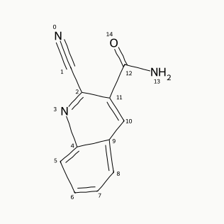 N#Cc1nc2ccccc2cc1C(N)=O